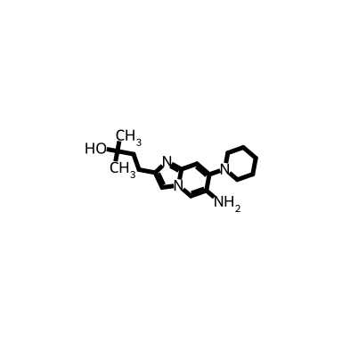 CC(C)(O)CCc1cn2cc(N)c(N3CCCCC3)cc2n1